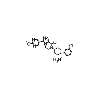 COc1ncc(-c2nnc3n2CCN([C@H]2CC[C@](CN)(c4cccc(Cl)c4)CC2)C3=O)cn1